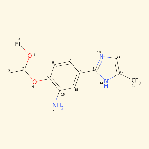 CCOC(C)Oc1ccc(-c2ncc(C(F)(F)F)[nH]2)cc1N